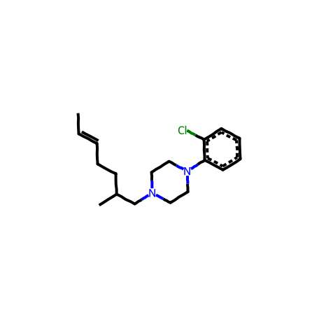 C/C=C/CCC(C)CN1CCN(c2ccccc2Cl)CC1